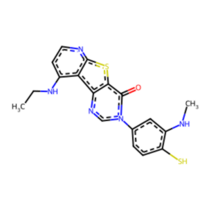 CCNc1ccnc2sc3c(=O)n(-c4ccc(S)c(NC)c4)cnc3c12